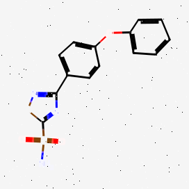 NS(=O)(=O)c1nc(-c2ccc(Oc3ccccc3)cc2)ns1